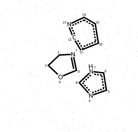 C1=NCCO1.c1c[nH]cn1.c1ccncc1